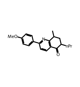 CCCC1CC(C)c2nc(-c3ccc(OC)cc3)ccc2C1=O